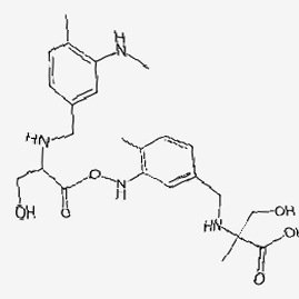 CNc1cc(CNC(CO)C(=O)ONc2cc(CNC(C)(CO)C(=O)O)ccc2C)ccc1C